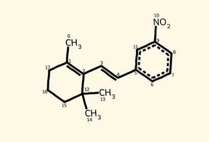 CC1=C(C=Cc2cccc([N+](=O)[O-])c2)C(C)(C)CCC1